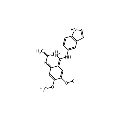 C=C(Cl)/N=C1/C=C(OC)C(OC)=C/C1=C(/N)Nc1ccc2[nH]ncc2c1